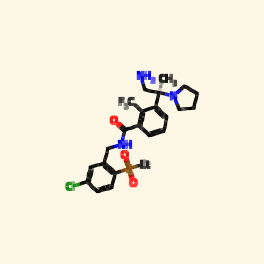 CCS(=O)(=O)c1ccc(Cl)cc1CNC(=O)c1cccc([C@@](C)(CN)N2CCCC2)c1C(F)(F)F